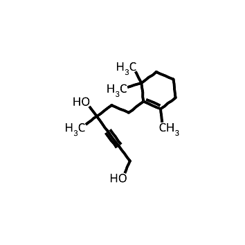 CC1=C(CCC(C)(O)C#CCO)C(C)(C)CCC1